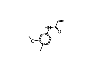 C=CC(=O)Nc1ccc(C)c(OC)c1